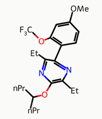 CCCC(CCC)Oc1nc(CC)c(-c2ccc(OC)cc2OC(F)(F)F)nc1CC